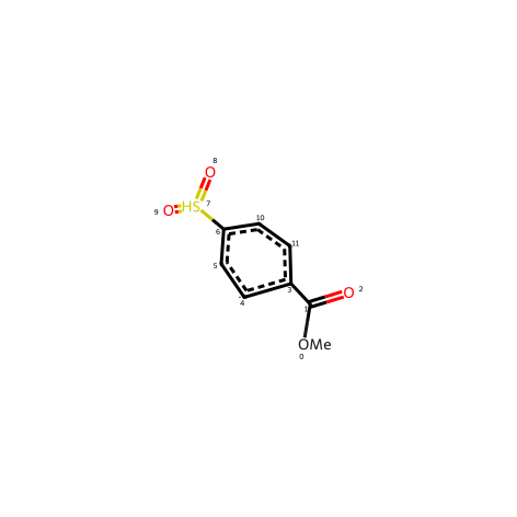 COC(=O)c1[c]cc([SH](=O)=O)cc1